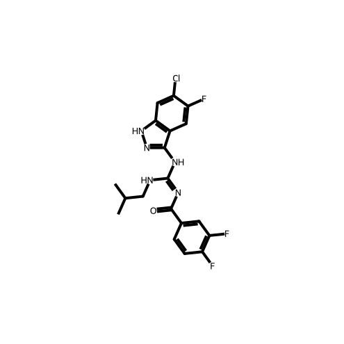 CC(C)CN/C(=N\C(=O)c1ccc(F)c(F)c1)Nc1n[nH]c2cc(Cl)c(F)cc12